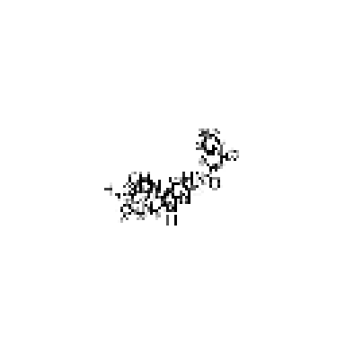 CC(C)(C)OC(=O)N(Cc1cc2ccc(CNC(=O)c3cc(=O)n4ccccc4n3)nc2[nH]1)CC1CCC1